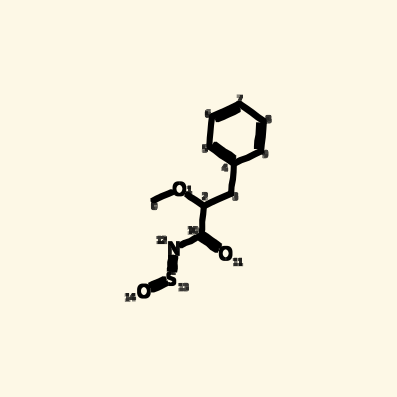 COC(Cc1ccccc1)C(=O)N=S=O